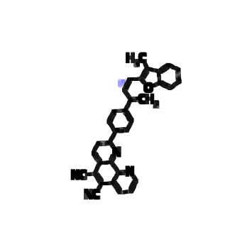 C=C(/C=C\c1oc2ccccc2c1C)c1ccc(-c2ccc3c(C#N)c(C#N)c4cccnc4c3n2)cc1